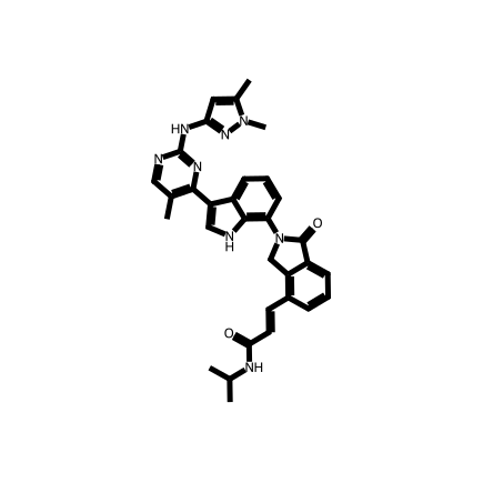 Cc1cnc(Nc2cc(C)n(C)n2)nc1-c1c[nH]c2c(N3Cc4c(/C=C/C(=O)NC(C)C)cccc4C3=O)cccc12